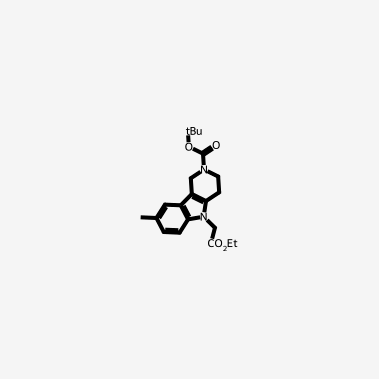 CCOC(=O)Cn1c2c(c3cc(C)ccc31)CN(C(=O)OC(C)(C)C)CC2